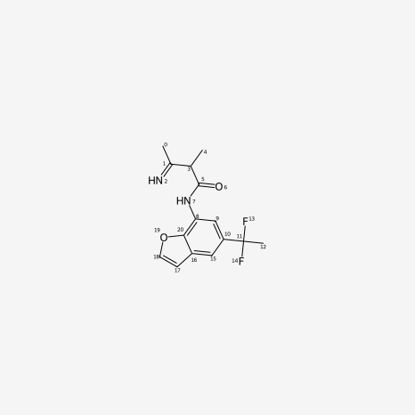 CC(=N)C(C)C(=O)Nc1cc(C(C)(F)F)cc2ccoc12